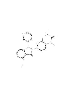 CSc1cccc2c1C(=O)N(c1ccc3c(n1)O[C@H](C)C(=O)N3C)C2c1cccnc1